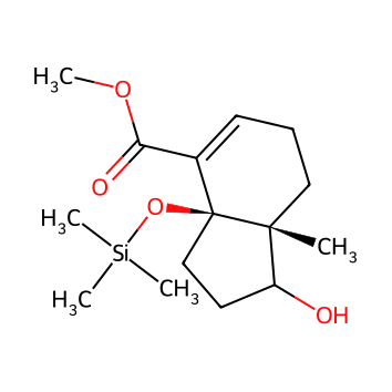 COC(=O)C1=CCC[C@]2(C)C(O)CC[C@]12O[Si](C)(C)C